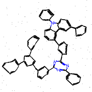 c1ccc(-c2cc(-c3ccccc3)cc(-c3cccc(-c4nc(-c5ccccc5)nc(-c5cccc(-c6cccc7c6c6cc(-c8ccccc8)ccc6n7-c6ccccc6)c5)n4)c3)c2)cc1